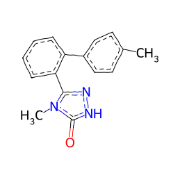 Cc1ccc(-c2ccccc2-c2n[nH]c(=O)n2C)cc1